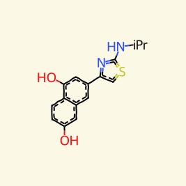 CC(C)Nc1nc(-c2cc(O)c3ccc(O)cc3c2)cs1